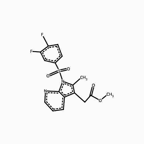 COC(=O)Cc1c(C)n(S(=O)(=O)c2ccc(F)c(F)c2)c2ncccc12